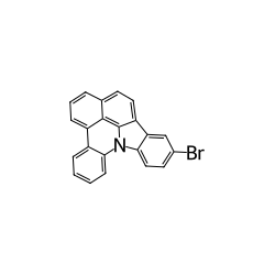 Brc1ccc2c(c1)c1ccc3cccc4c5ccccc5n2c1c34